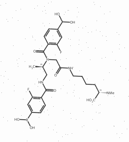 CN[C@@H](CCCCNC(=O)CN(C(=O)c1ccc(C(O)O)cc1F)[C@H](C)CNC(=O)c1ccc(B(O)O)cc1F)C(=O)O